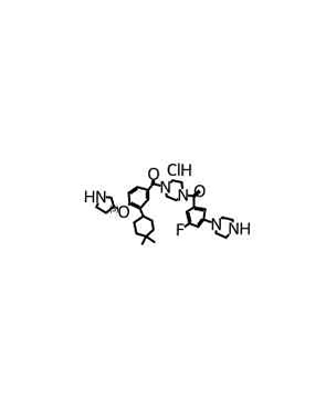 CC1(C)CCC(c2cc(C(=O)N3CCN(C(=O)c4cc(F)cc(N5CCNCC5)c4)CC3)ccc2O[C@H]2CCNC2)CC1.Cl